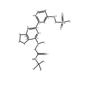 CN(CC(=O)NC(C)(C)C)c1nc(-c2cc(OCS(C)(=O)=O)ccn2)nc2c1CCC2